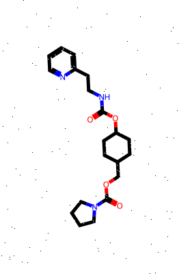 O=C(NCCc1ccccn1)OC1CCC(COC(=O)N2CCCC2)CC1